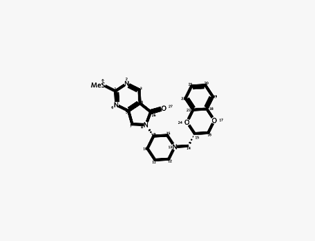 CSc1ncc2c(n1)CN([C@H]1CCCN(C[C@H]3COc4ccccc4O3)C1)C2=O